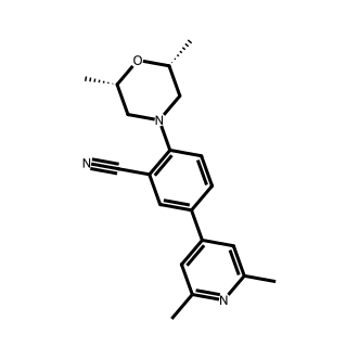 Cc1cc(-c2ccc(N3C[C@@H](C)O[C@@H](C)C3)c(C#N)c2)cc(C)n1